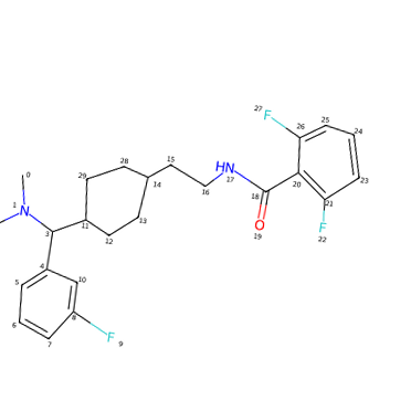 CN(C)C(c1cccc(F)c1)C1CCC(CCNC(=O)c2c(F)cccc2F)CC1